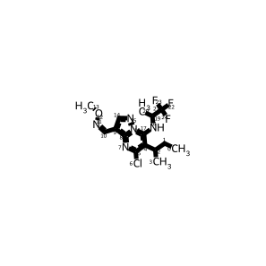 CCC(C)c1c(Cl)nc2c(/C=N\OC)cnn2c1NC(C)C(F)(F)F